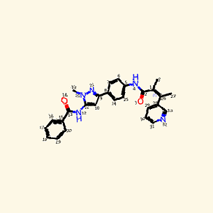 C/C(C(=O)Nc1ccc(-c2cc(NC(=O)c3ccccc3)n(C)n2)cc1)=C(\C)c1cccnc1